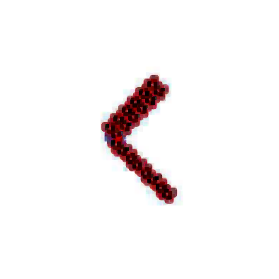 [NH4+].[NH4+].[O]=[Cr](=[O])([O-])[O][Cr](=[O])(=[O])[O-].[O]=[Cr](=[O])([O-])[O][Cr](=[O])(=[O])[O-].[O]=[Cr](=[O])([O-])[O][Cr](=[O])(=[O])[O-].[O]=[Cr](=[O])([O-])[O][Cr](=[O])(=[O])[O-].[O]=[Cr](=[O])([O-])[O][Cr](=[O])(=[O])[O-].[O]=[Cr](=[O])([O-])[O][Cr](=[O])(=[O])[O-].[O]=[Cr](=[O])([O-])[O][Cr](=[O])(=[O])[O-].[O]=[Cr](=[O])([O-])[O][Cr](=[O])(=[O])[O-].[O]=[Cr](=[O])([O-])[O][Cr](=[O])(=[O])[O-].[O]=[Cr](=[O])([O-])[O][Cr](=[O])(=[O])[O-]